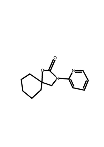 O=C1OC2(CCCCC2)CN1c1ccccn1